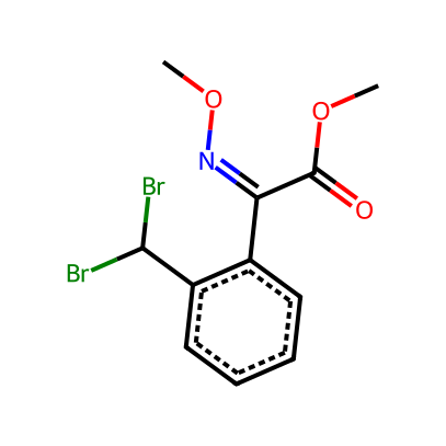 CON=C(C(=O)OC)c1ccccc1C(Br)Br